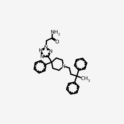 CC(CCN1CCC(c2ccccc2)(c2nnn(CC(N)=O)n2)CC1)(c1ccccc1)c1ccccc1